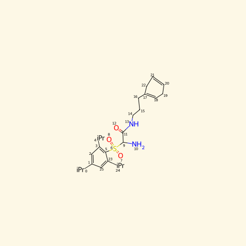 CC(C)c1cc(C(C)C)c(S(=O)(=O)C(N)C(=O)NCCCC2=CCC=CC2)c(C(C)C)c1